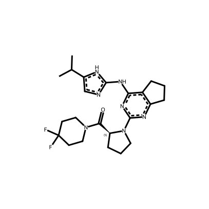 CC(C)c1cnc(Nc2nc(N3CCC[C@H]3C(=O)N3CCC(F)(F)CC3)nc3c2CCC3)[nH]1